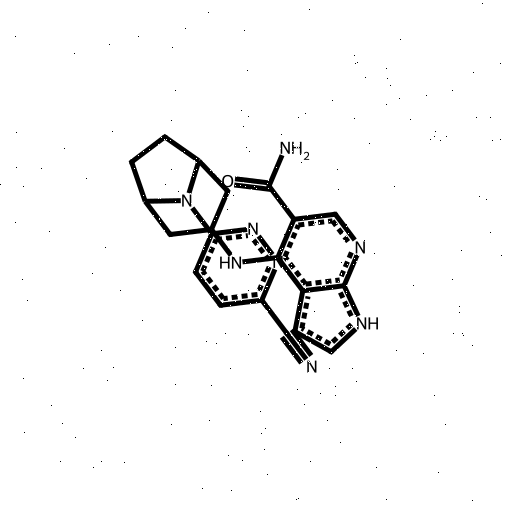 N#Cc1ccc(N2C3CCC2CC(Nc2c(C(N)=O)cnc4[nH]ccc24)C3)nn1